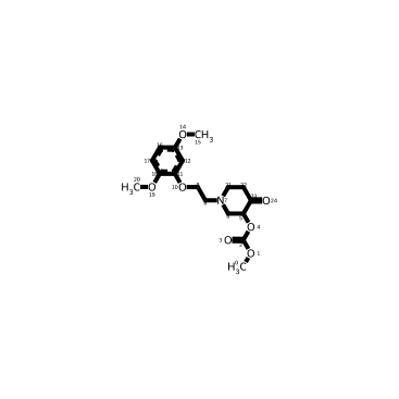 COC(=O)OC1CN(CCOc2cc(OC)ccc2OC)CCC1=O